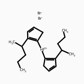 CCCC(C)C1=[C]([Hf+2][C]2=C(C(C)CCC)C=CC2)CC=C1.[Br-].[Br-]